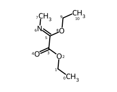 CCOC(=O)C(=NC)OCC